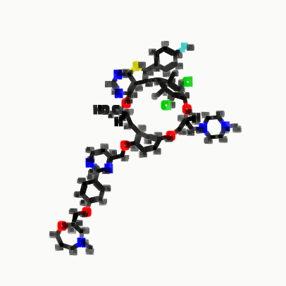 Cc1c(Cl)c2c(Cl)c(C)c1-c1c(-c3ccc(F)cc3)sc3ncnc(c13)O[C@@H](C(=O)O)Cc1cc(ccc1OCc1ccnc(-c3ccc(OC[C@H]4CN(C)CCCO4)cc3)n1)OC[C@@H](CN1CCN(C)CC1)O2